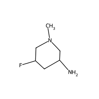 CN1CC(N)CC(F)C1